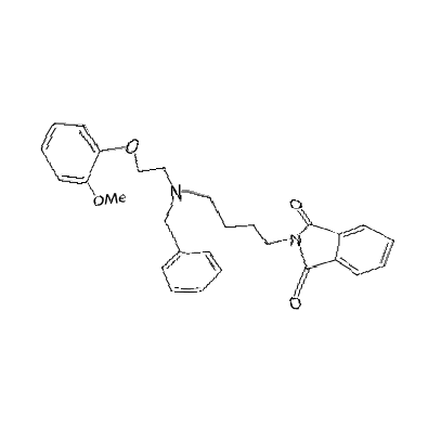 COc1ccccc1OCCN(CCCCN1C(=O)c2ccccc2C1=O)Cc1ccccc1